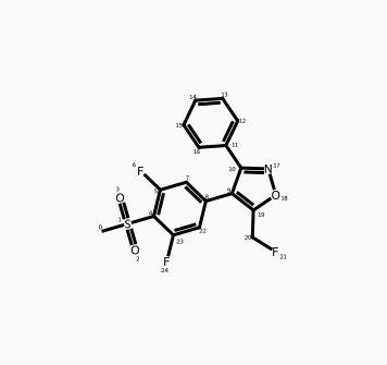 CS(=O)(=O)c1c(F)cc(-c2c(-c3ccccc3)noc2CF)cc1F